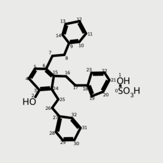 O=S(=O)(O)O.Oc1ccc(CCc2ccccc2)c(CCc2ccccc2)c1CCc1ccccc1